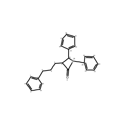 O=C1C(CCCc2ccccc2)C(c2ccccc2)N1c1ccccc1